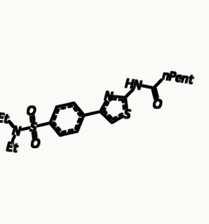 CCCCCC(=O)Nc1nc(-c2ccc(S(=O)(=O)N(CC)CC)cc2)cs1